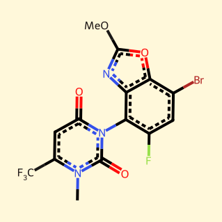 COc1nc2c(-n3c(=O)cc(C(F)(F)F)n(C)c3=O)c(F)cc(Br)c2o1